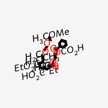 C=C(OCCOCC(C)OC)C(C)(C)CC(CC(C)(CC(C)(CC)C(=O)OCCOC(=O)c1ccccc1C(=O)O)C(=O)O)C(=O)OCC